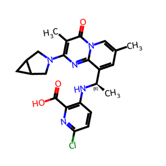 Cc1cc([C@@H](C)Nc2ccc(Cl)nc2C(=O)O)c2nc(N3CC4CC4C3)c(C)c(=O)n2c1